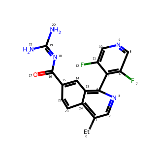 CCc1cnc(-c2c(F)cncc2F)c2cc(C(=O)N=C(N)N)ccc12